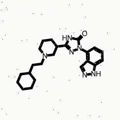 O=c1[nH]c(C2CCCN(CCC3CCCCC3)C2)nn1-c1cccc2[nH]ncc12